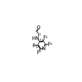 O=CCNc1c(F)c(F)nc(F)c1F